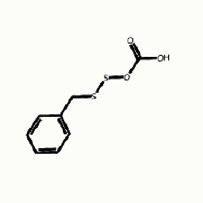 O=C(O)OSSCc1ccccc1